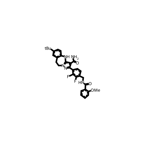 COc1ccccc1C(=O)NCc1ccc(-c2nn3c(c2C(N)=O)Nc2ccc(C(C)(C)C)cc2CC3)c(F)c1F